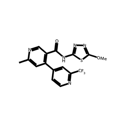 COc1nnc(NC(=O)c2cnc(C)cc2-c2ccnc(C(F)(F)F)c2)s1